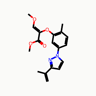 C=C(C)c1ccn(-c2ccc(C)c(O/C(=C\OC)C(=O)OC)c2)n1